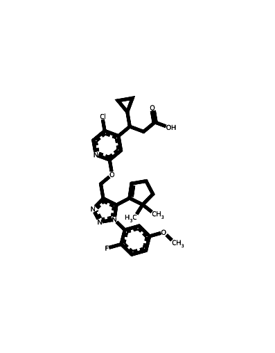 COc1ccc(F)c(-n2nnc(COc3cc(C(CC(=O)O)C4CC4)c(Cl)cn3)c2C2=CCCC2(C)C)c1